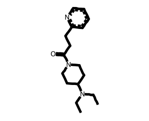 CCN(CC)C1CCN(C(=O)CCc2ccccn2)CC1